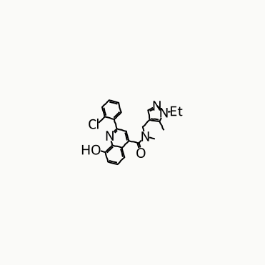 CCn1ncc(CN(C)C(=O)c2cc(-c3ccccc3Cl)nc3c(O)cccc23)c1C